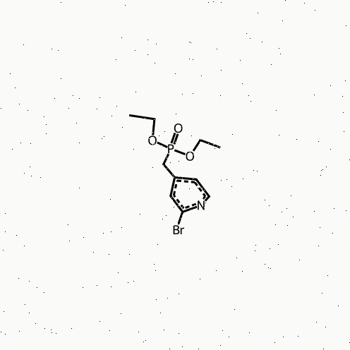 CCOP(=O)(Cc1ccnc(Br)c1)OCC